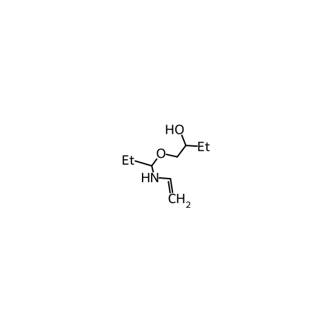 C=CNC(CC)OCC(O)CC